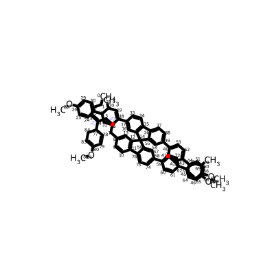 CCC/C=C(\C=C/Cc1ccc2c(c1)C1(c3cc(C4=CC(C)C(c5ccc(OC)cc5)C=C4)ccc3-c3ccc(-c4ccc(-c5ccc(OC)cc5)cc4)cc31)c1cc(-c3ccc(C4=CC=C(OC)C(C)C4)cc3)ccc1-2)C1C=CC(OC)=CC1